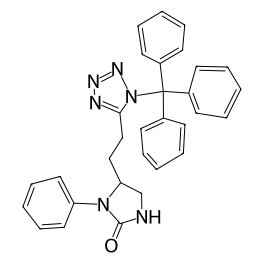 O=C1NCC(CCc2nnnn2C(c2ccccc2)(c2ccccc2)c2ccccc2)N1c1ccccc1